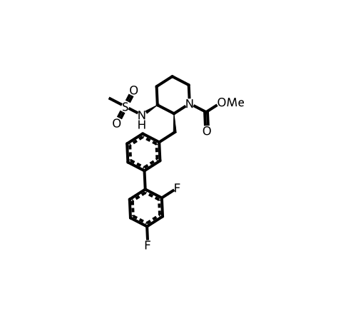 COC(=O)N1CCC[C@H](NS(C)(=O)=O)[C@@H]1Cc1cccc(-c2ccc(F)cc2F)c1